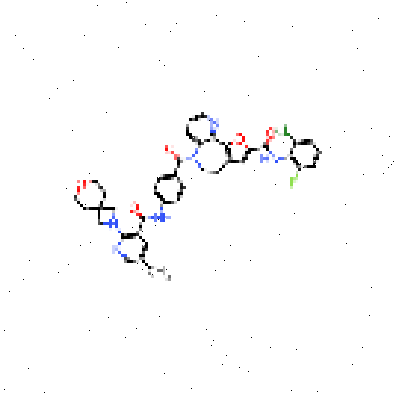 Cc1cnc(N2CC3(CCOCC3)C2)c(C(=O)Nc2ccc(C(=O)N3CCc4cc(C(=O)Nc5c(F)cccc5Cl)oc4-c4ncccc43)cc2)c1